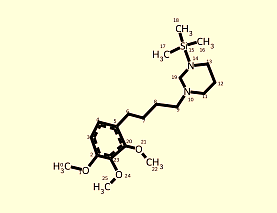 COc1ccc(CCCCN2CCCN([Si](C)(C)C)C2)c(OC)c1OC